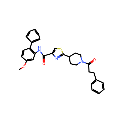 COc1ccc(-c2ccccc2)c(NC(=O)c2csc(C3CCN(C(=O)CCc4ccccc4)CC3)n2)c1